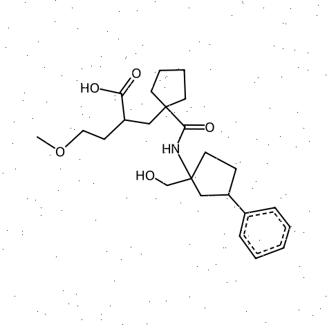 COCCC(CC1(C(=O)NC2(CO)CCC(c3ccccc3)C2)CCCC1)C(=O)O